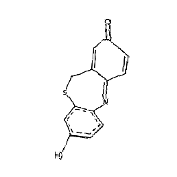 O=C1C=CC2=Nc3ccc(O)cc3SCC2=C1